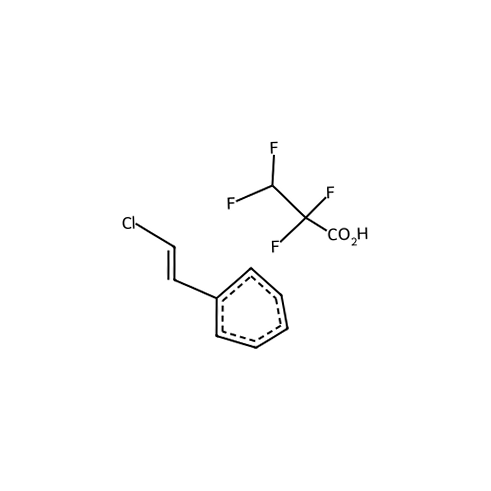 ClC=Cc1ccccc1.O=C(O)C(F)(F)C(F)F